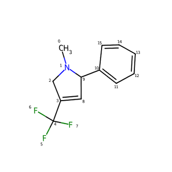 CN1CC(C(F)(F)F)=CC1c1ccccc1